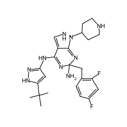 CC(C)(C)c1cc(NC2=NC(N)(Cc3ccc(F)cc3F)N=C3C2=CNN3C2CCNCC2)n[nH]1